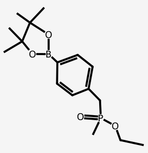 CCOP(C)(=O)Cc1ccc(B2OC(C)(C)C(C)(C)O2)cc1